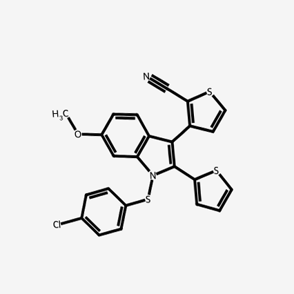 COc1ccc2c(-c3ccsc3C#N)c(-c3cccs3)n(Sc3ccc(Cl)cc3)c2c1